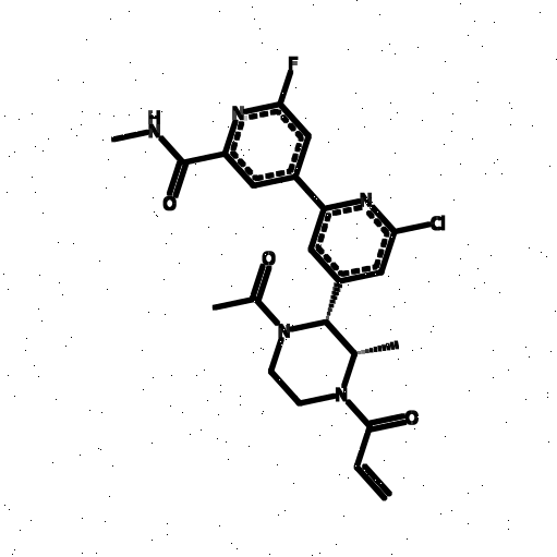 C=CC(=O)N1CCN(C(C)=O)[C@H](c2cc(Cl)nc(-c3cc(F)nc(C(=O)NC)c3)c2)[C@@H]1C